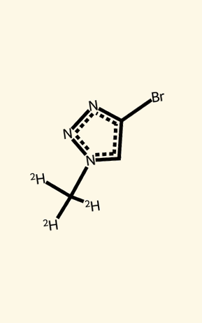 [2H]C([2H])([2H])n1cc(Br)nn1